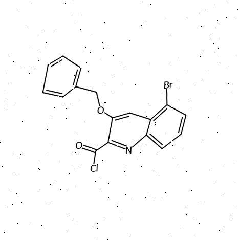 O=C(Cl)c1nc2cccc(Br)c2cc1OCc1ccccc1